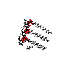 CCCCCCCCCCCCCCOP(=O)([O-])Oc1ccccc1CC.CCCCCCCCCCCCCCOP(=O)([O-])Oc1ccccc1CC.CCCCCCCCCCCCCCOP(=O)([O-])Oc1ccccc1CC.[Al+3]